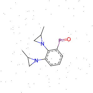 CC1CN1c1cccc(P=O)c1N1CC1C